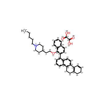 CCCCCN1CCC(CCOc2c(-c3cccc4c5c(ccc34)C3=C(CCC=C3)CC5)ccc3ccccc23)CC1.O=C(O)C(=O)O